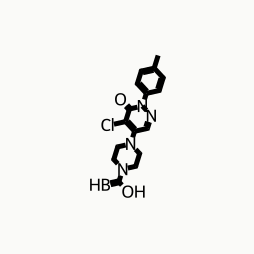 B=C(O)N1CCN(c2cnn(-c3ccc(C)cc3)c(=O)c2Cl)CC1